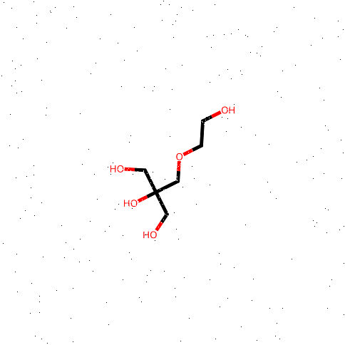 OCCOCC(O)(CO)CO